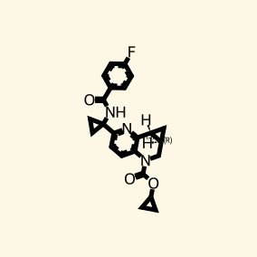 O=C(NC1(c2ccc3c(n2)[C@H]2C[C@H]2CN3C(=O)OC2CC2)CC1)c1ccc(F)cc1